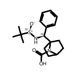 CC(C)(C)[S@@+]([O-])N[C@@H](c1ccccc1)C12CCC(CC1)N2C(=O)O